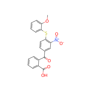 COc1ccccc1Sc1ccc(C(=O)c2ccccc2C(=O)O)cc1[N+](=O)[O-]